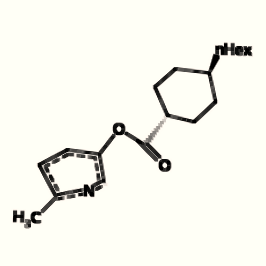 CCCCCC[C@H]1CC[C@H](C(=O)Oc2ccc(C)nc2)CC1